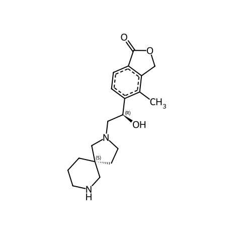 Cc1c([C@@H](O)CN2CC[C@]3(CCCNC3)C2)ccc2c1COC2=O